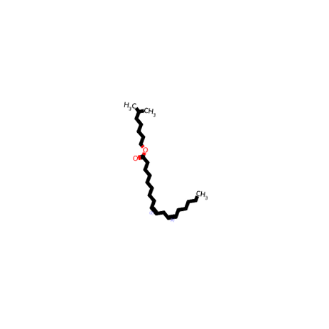 CCCCC/C=C\C/C=C\CCCCCCCC(=O)OCCCCCC(C)C